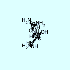 N=C(N)NCCC[C@H](NC(=O)CNC(=O)[C@H](CCCCN)NC(=O)CN)C(=O)NCCO